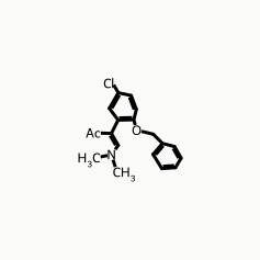 CC(=O)C(=CN(C)C)c1cc(Cl)ccc1OCc1ccccc1